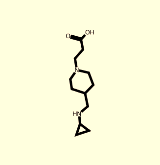 O=C(O)CCN1CCC(CNC2CC2)CC1